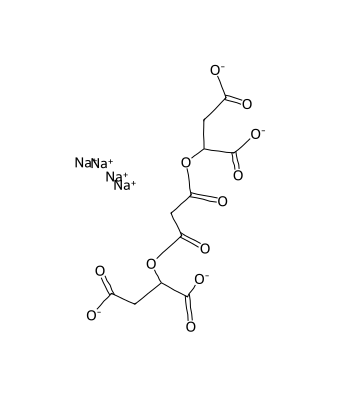 O=C([O-])CC(OC(=O)CC(=O)OC(CC(=O)[O-])C(=O)[O-])C(=O)[O-].[Na+].[Na+].[Na+].[Na+]